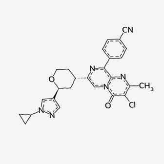 Cc1nc2c(-c3ccc(C#N)cc3)nc([C@H]3CCO[C@H](c4cnn(C5CC5)c4)C3)cn2c(=O)c1Cl